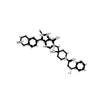 C[C@H](CC(=O)N1CCC(O)(Cn2cnc3c(-c4ccc5c(c4)CCNC5)n(C)nc3c2=O)CC1)c1ccccc1